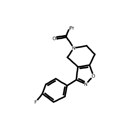 CC(C)C(=O)N1CCc2onc(-c3ccc(F)cc3)c2C1